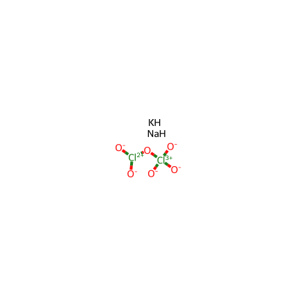 [KH].[NaH].[O-][Cl+2]([O-])O[Cl+3]([O-])([O-])[O-]